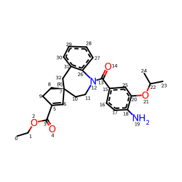 CCOC(=O)C1=C[C@@]2(CC1)CCN(C(=O)c1ccc(N)c(OC(C)C)c1)c1ccccc1C2